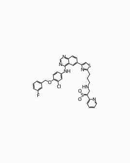 O=S(=O)=C(CNCCCc1nc(-c2ccc3ncnc(Nc4ccc(OCc5cccc(F)c5)c(Cl)c4)c3c2)cs1)c1ccccn1